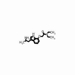 CCN(CC)C(=O)COc1cccc2c(CC(C)N)c[nH]c12